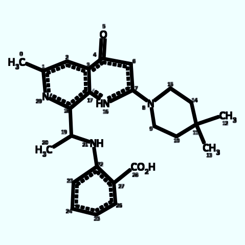 Cc1cc2c(=O)cc(N3CCC(C)(C)CC3)[nH]c2c(C(C)Nc2ccccc2C(=O)O)n1